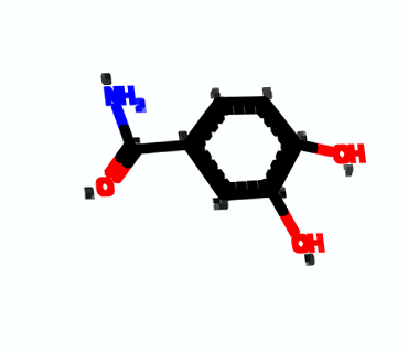 NC(=O)c1ccc(O)c(O)c1